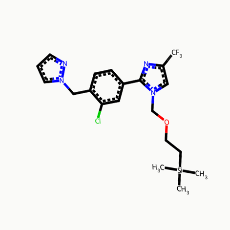 C[Si](C)(C)CCOCn1cc(C(F)(F)F)nc1-c1ccc(Cn2cccn2)c(Cl)c1